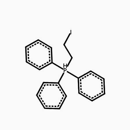 ICC[PH](c1ccccc1)(c1ccccc1)c1ccccc1